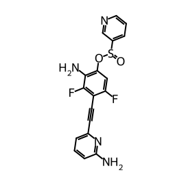 Nc1cccc(C#Cc2c(F)cc(OS(=O)c3cccnc3)c(N)c2F)n1